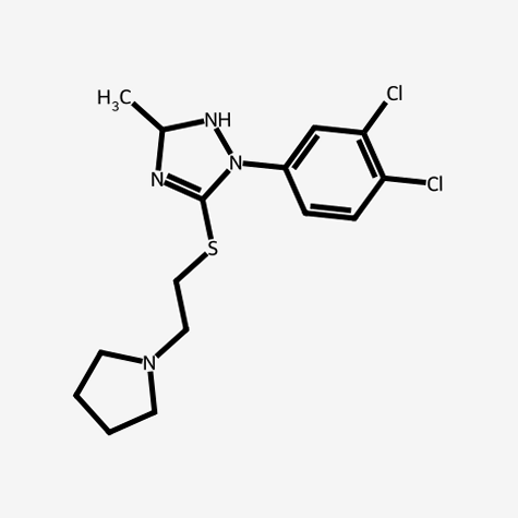 CC1N=C(SCCN2CCCC2)N(c2ccc(Cl)c(Cl)c2)N1